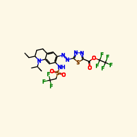 CCC1CCc2cc(N=Nc3nnc(C(=O)OC(F)(F)C(F)(F)F)s3)c(NS(=O)(=O)CC(F)(F)F)cc2N1C(C)C